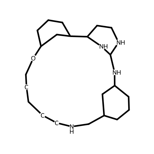 C1CCNCC2CCCC(C2)NC2NCCC(N2)C2CCCC(C2)OCC1